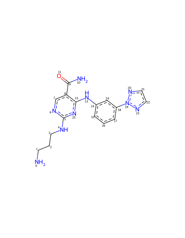 NCCCNc1ncc(C(N)=O)c(Nc2cccc(-n3nccn3)c2)n1